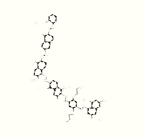 CNc1ccc2c(O)c(N=Nc3ccc4c(O)c(N=Nc5ccccc5C(=O)O)ccc4c3)ccc2c1N=Nc1ccc2c(O)c(N=Nc3cc(OCCO)c(N=Nc4cc(S(=O)(=O)O)cc5cc(S(=O)(=O)O)cc(O)c45)cc3OCCO)c(S(=O)(=O)O)cc2c1S(=O)(=O)O